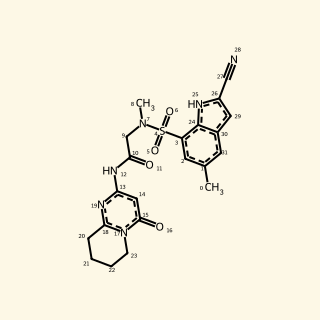 Cc1cc(S(=O)(=O)N(C)CC(=O)Nc2cc(=O)n3c(n2)CCCC3)c2[nH]c(C#N)cc2c1